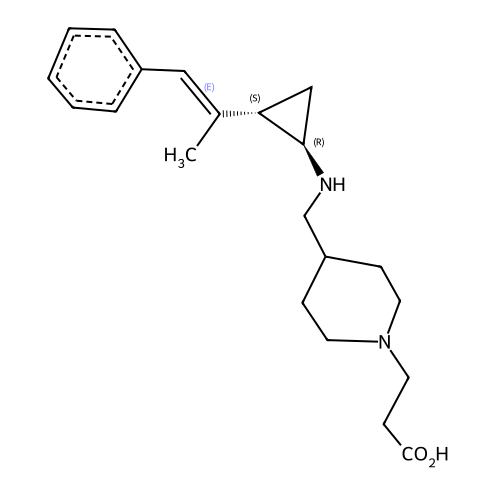 C/C(=C\c1ccccc1)[C@@H]1C[C@H]1NCC1CCN(CCC(=O)O)CC1